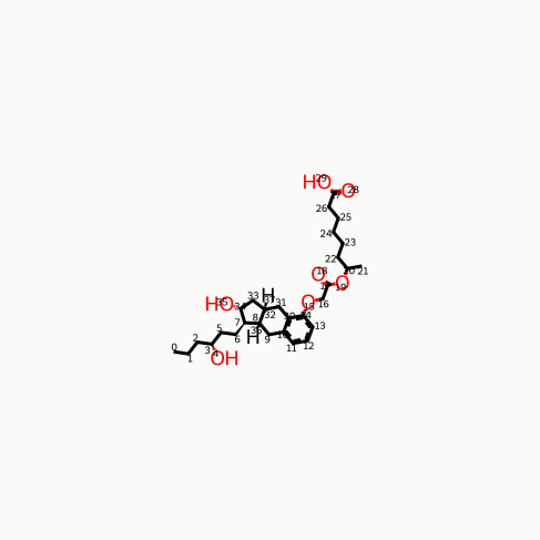 CCC[C@H](O)CC[C@@H]1[C@H]2Cc3cccc(OCC(=O)OC(C)CCCCCC(=O)O)c3C[C@H]2C[C@H]1O